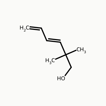 C=CC=CC(C)(C)CO